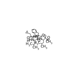 CC(C)CC(NC(=O)[C@@H](O)CC1CC1)C(=O)N[C@@H](Cc1ccccc1)C(=O)NC(CC(C)C)C(=O)[C@@]1(C)CO1